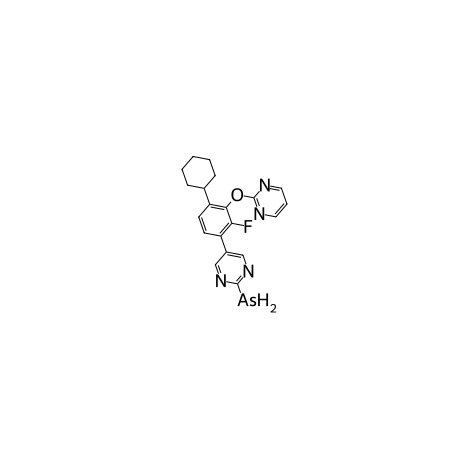 Fc1c(-c2cnc([AsH2])nc2)ccc(C2CCCCC2)c1Oc1ncccn1